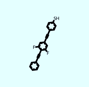 Fc1cc(C#Cc2ccc(S)cc2)cc(F)c1C#Cc1ccccc1